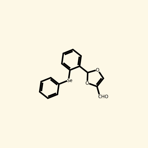 O=CC1=COC(c2ccccc2[Se]c2ccccc2)O1